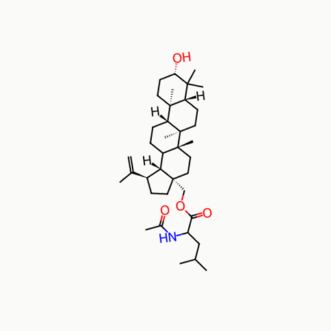 C=C(C)[C@@H]1CC[C@]2(COC(=O)C(CC(C)C)NC(C)=O)CC[C@]3(C)C(CC[C@@H]4[C@@]5(C)CC[C@H](O)C(C)(C)[C@@H]5CC[C@]43C)[C@@H]12